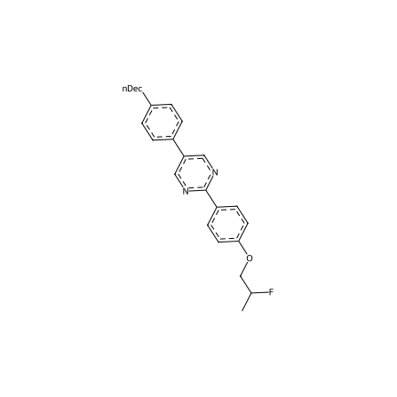 CCCCCCCCCCc1ccc(-c2cnc(-c3ccc(OCC(C)F)cc3)nc2)cc1